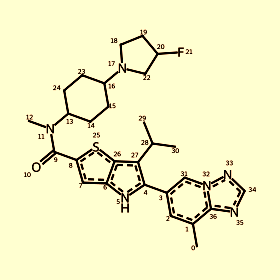 Cc1cc(-c2[nH]c3cc(C(=O)N(C)C4CCC(N5CCC(F)C5)CC4)sc3c2C(C)C)cn2ncnc12